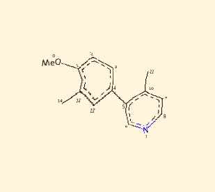 COc1ccc(-c2cnccc2C)cc1C